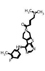 Cc1cc(Nc2ncnc3sc4c(c23)CCN(C(=O)C=CCN(C)C)C4)ccc1F